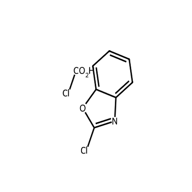 Clc1nc2ccccc2o1.O=C(O)Cl